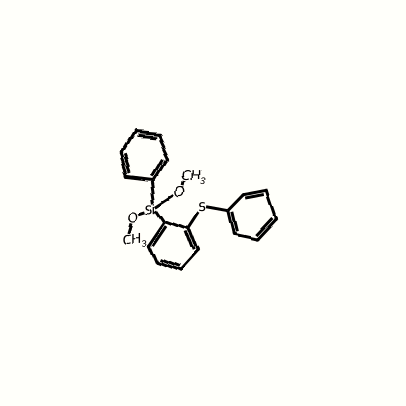 CO[Si](OC)(c1ccccc1)c1ccccc1Sc1ccccc1